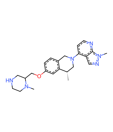 C[C@H]1CN(c2ccnc3c2cnn3C)Cc2ccc(OCC3CNCCN3C)cc21